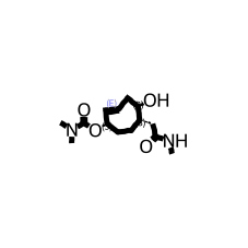 CNC(=O)C[C@@H]1CC[C@H](OC(=O)N(C)C)/C=C/C[C@H]1O